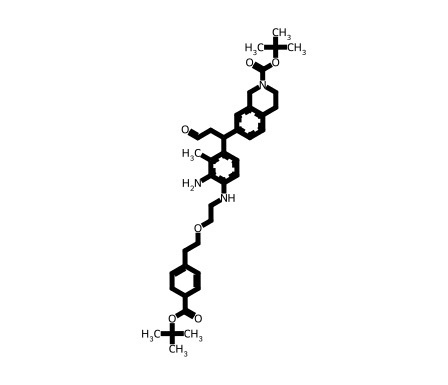 Cc1c(C(CC=O)c2ccc3c(c2)CN(C(=O)OC(C)(C)C)CC3)ccc(NCCOCCC2=CCC(C(=O)OC(C)(C)C)C=C2)c1N